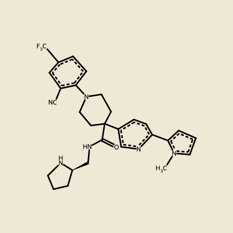 Cn1cccc1-c1ccc(C2(C(=O)NC[C@H]3CCCN3)CCN(c3ccc(C(F)(F)F)cc3C#N)CC2)cn1